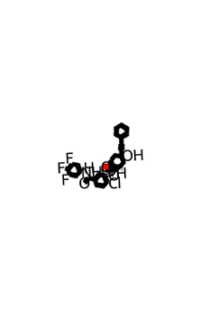 C[C@@H]1C[C@H]2CC(O)(C#Cc3ccccc3)CC1C2S(=O)(=O)c1cc(C(=O)Nc2cc(F)c(F)c(F)c2)ccc1Cl